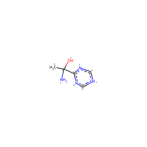 CC(N)(O)c1ncncn1